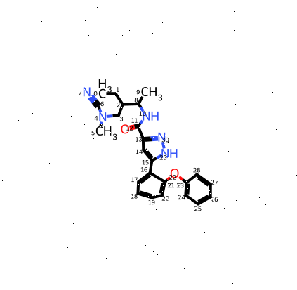 CCC(CN(C)C#N)C(C)NC(=O)c1cc(-c2ccccc2Oc2ccccc2)[nH]n1